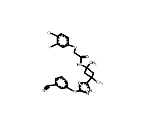 CC1(NC(=O)COc2ccc(Cl)c(F)c2)CC(C)(c2nnc(Oc3cccc(C#N)c3)o2)C1